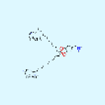 CCCCC/C=C\C/C=C\CCCCCCCCC1(CCCCCCCCC(C)C/C=C\CCCCC)OC2CC(CN(C)C)CC2O1